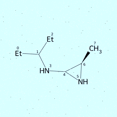 CCC(CC)NC1N[C@@H]1C